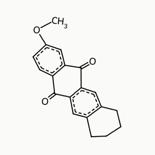 COc1ccc2c(c1)C(=O)c1cc3c(cc1C2=O)CCCC3